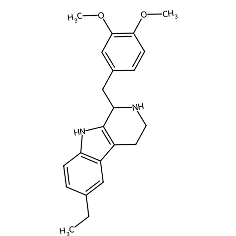 CCc1ccc2[nH]c3c(c2c1)CCNC3Cc1ccc(OC)c(OC)c1